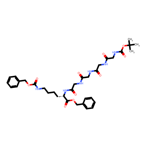 CC(C)(C)OC(=O)NCC(=O)NCC(=O)NCC(=O)NCC(=O)N[C@@H](CCCCNC(=O)OCc1ccccc1)C(=O)OCc1ccccc1